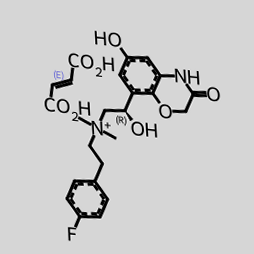 C[N+](C)(CCc1ccc(F)cc1)C[C@H](O)c1cc(O)cc2c1OCC(=O)N2.O=C(O)/C=C/C(=O)O